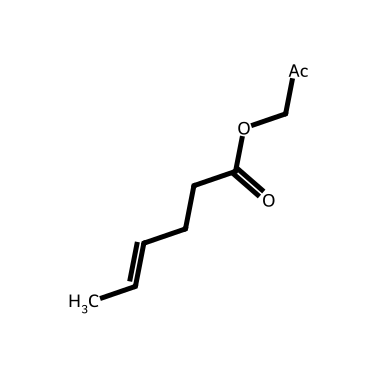 CC=CCCC(=O)OCC(C)=O